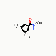 CCCCNC(=O)c1cc(C(F)(F)F)cc(C(F)(F)F)c1